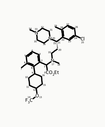 CCOC(=O)C(c1cccc(C)c1C1CCC(OC(F)(F)F)CC1)N(C)CC[C@@H](c1cc(Cl)ccc1C)N1CCN(C)CC1